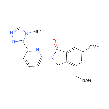 CCCn1cnnc1-c1cccc(N2Cc3c(CNC)cc(OC)cc3C2=O)n1